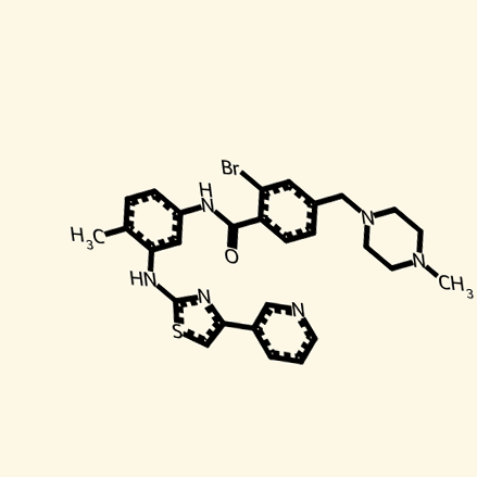 Cc1ccc(NC(=O)c2ccc(CN3CCN(C)CC3)cc2Br)cc1Nc1nc(-c2cccnc2)cs1